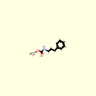 COC(=O)NCCCc1ccccc1